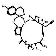 C=C1C/C=C/[C@@](O)(CC#N)[C@@H]2CC[C@H]2CN2C[C@@]3(CCCc4cc(Cl)ccc43)COc3ccc(cc32)C(=O)NS(=O)(=O)[C@@H]1C